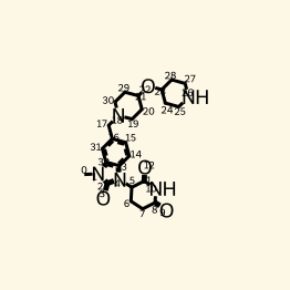 Cn1c(=O)n(C2CCC(=O)NC2=O)c2ccc(CN3CCC(OC4CCNCC4)CC3)cc21